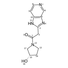 O=C(Cc1nc2cnccc2[nH]1)N1CC[C@H](O)C1